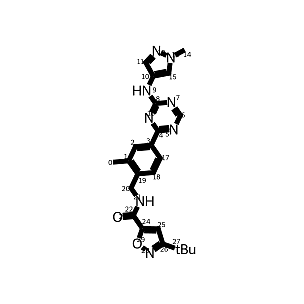 Cc1cc(-c2ncnc(Nc3cnn(C)c3)n2)ccc1CNC(=O)c1cc(C(C)(C)C)no1